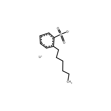 CCCCCCc1ccccc1S(=O)(=O)[O-].[Li+]